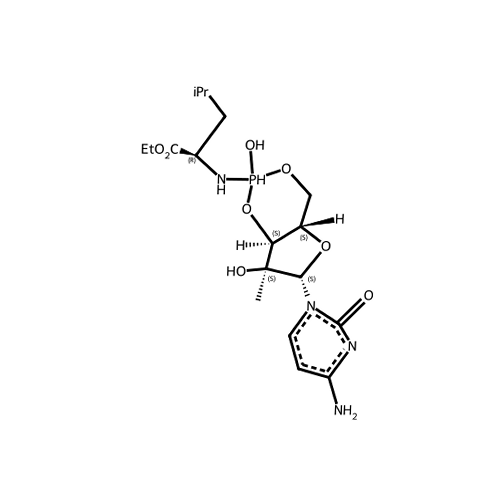 CCOC(=O)[C@@H](CC(C)C)N[PH]1(O)OC[C@@H]2O[C@H](n3ccc(N)nc3=O)[C@@](C)(O)[C@H]2O1